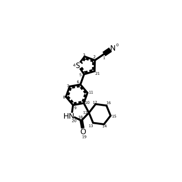 N#Cc1csc(-c2ccc3c(c2)C2(CCCCC2)C(=O)N3)c1